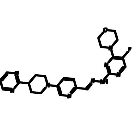 Fc1cnc(N/N=C/c2ccc(N3CCC(c4ncccn4)CC3)cn2)nc1N1CCOCC1